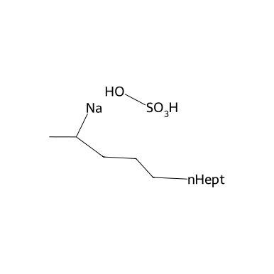 CCCCCCCCCC[CH](C)[Na].O=S(=O)(O)O